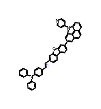 C(=C\c1ccc2c(c1)sc1cc(-c3cc4ccc5cccc6c5c4c(c3)n6-c3ccncc3)ccc12)/c1ccc(N(c2ccccc2)c2ccccc2)cc1